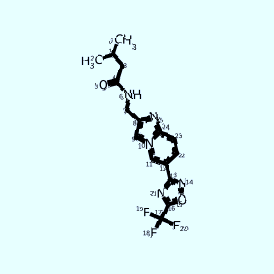 CC(C)CC(=O)NCc1cn2cc(-c3noc(C(F)(F)F)n3)ccc2n1